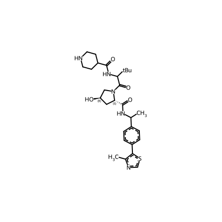 Cc1ncsc1-c1ccc(C(C)NC(=O)[C@@H]2C[C@@H](O)CN2C(=O)C(NC(=O)C2CCNCC2)C(C)(C)C)cc1